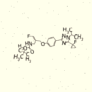 CC(C)n1nc(-c2ccc(OC/C(=C/F)CNC(=O)OC(C)(C)C)cc2)nc1C1(F)CC1